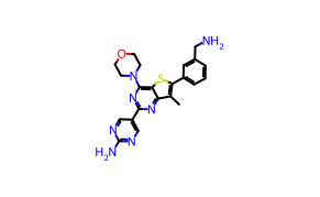 Cc1c(-c2cccc(CN)c2)sc2c(N3CCOCC3)nc(-c3cnc(N)nc3)nc12